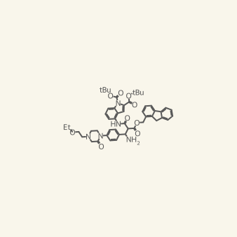 CCOCCN1CCN(c2ccc(C(N)C(C(=O)Nc3cccc4c3cc(C(=O)OC(C)(C)C)n4C(=O)OC(C)(C)C)C(=O)OCc3cccc4c3Cc3ccccc3-4)cc2)C(=O)C1